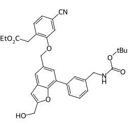 CCOC(=O)Cc1ccc(C#N)cc1OCc1cc(-c2cccc(CNC(=O)OC(C)(C)C)c2)c2oc(CO)cc2c1